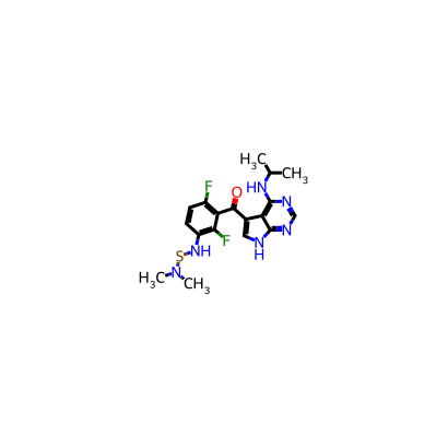 CC(C)Nc1ncnc2[nH]cc(C(=O)c3c(F)ccc(NSN(C)C)c3F)c12